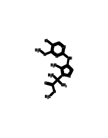 COC(=O)C(C)(C)n1ncc(Nc2ncc(Cl)c(OC)n2)c1C